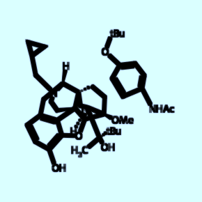 CC(=O)Nc1ccc(OC(C)(C)C)cc1.CO[C@]12CC[C@@]3(C[C@@H]1[C@](C)(O)C(C)(C)C)[C@H]1Cc4ccc(O)c5c4[C@@]3(CCN1CC1CC1)[C@H]2O5